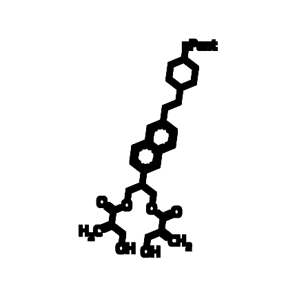 C=C(CO)C(=O)OCC(COC(=O)C(=C)CO)c1ccc2cc(CCC3CCC(CCCCC)CC3)ccc2c1